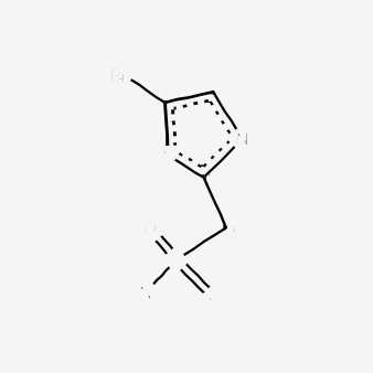 NS(=O)(=O)Cc1ncc(Br)s1